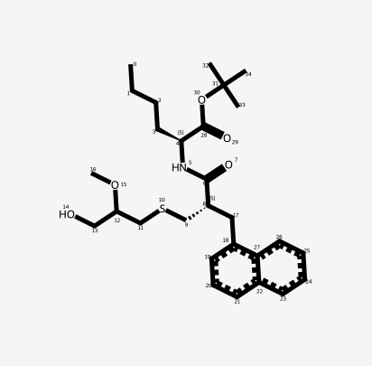 CCCC[C@H](NC(=O)[C@@H](CSCC(CO)OC)Cc1cccc2ccccc12)C(=O)OC(C)(C)C